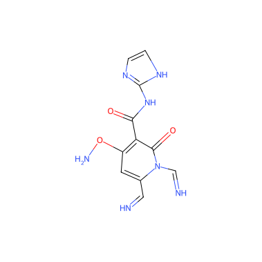 N=Cc1cc(ON)c(C(=O)Nc2ncc[nH]2)c(=O)n1C=N